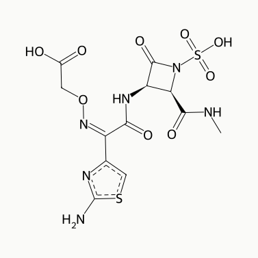 CNC(=O)[C@H]1[C@@H](NC(=O)/C(=N\OCC(=O)O)c2csc(N)n2)C(=O)N1S(=O)(=O)O